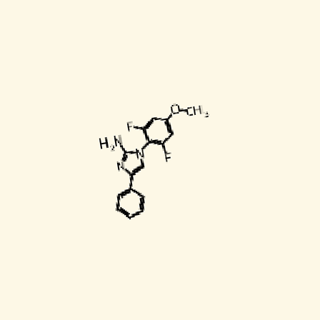 COc1cc(F)c(-n2cc(-c3ccccc3)nc2N)c(F)c1